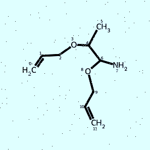 C=CCOC(C)C(N)OCC=C